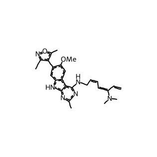 C=C/C(=C\C=C/CNc1nc(C)nc2[nH]c3cc(-c4c(C)noc4C)c(OC)cc3c12)N(C)C